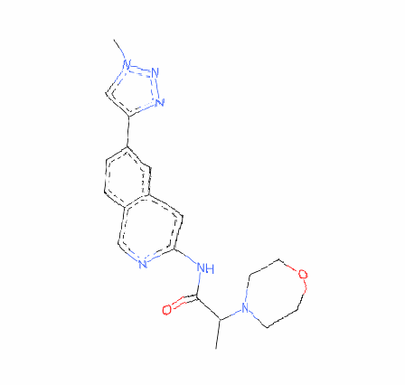 CC(C(=O)Nc1cc2cc(-c3cn(C)nn3)ccc2cn1)N1CCOCC1